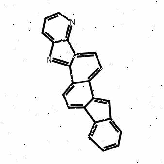 C1=c2c(ccc3c4c(ccc23)-c2ncccc2N=4)-c2ccccc21